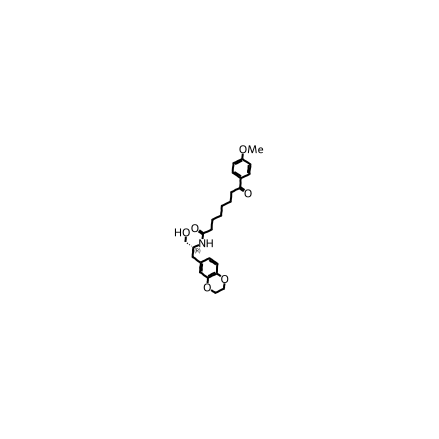 COc1ccc(C(=O)CCCCCCC(=O)N[C@@H](CO)Cc2ccc3c(c2)OCCO3)cc1